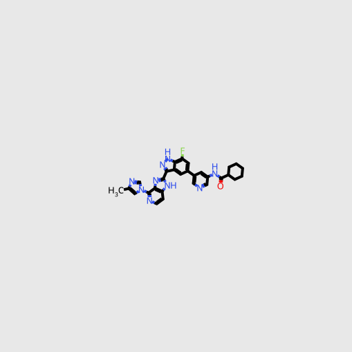 Cc1cn(-c2nccc3[nH]c(-c4n[nH]c5c(F)cc(-c6cncc(NC(=O)C7CCCCC7)c6)cc45)nc23)cn1